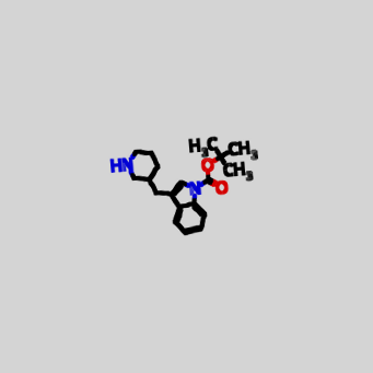 CC(C)(C)OC(=O)n1cc(CC2CCCNC2)c2ccccc21